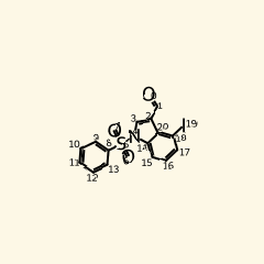 O=Cc1cn(S(=O)(=O)c2ccccc2)c2cccc(I)c12